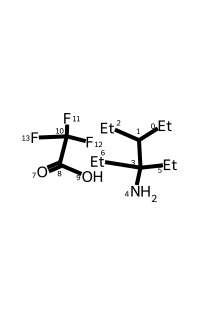 CCC(CC)C(N)(CC)CC.O=C(O)C(F)(F)F